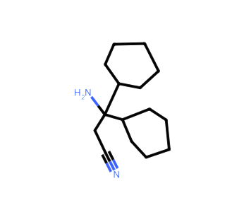 N#CCC(N)(C1CCCCC1)C1CCCCC1